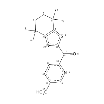 CC1(C)CCC(C)(C)c2sc(C(=O)c3ccc(C(=O)O)cn3)nc21